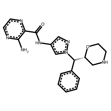 Nc1nccnc1C(=O)Nc1cnn(C(c2ccccc2)[C@H]2CNCCO2)c1